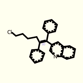 ClCCCC/C(=C(\c1ccccc1)c1cnc2ccccc2c1)c1ccccc1